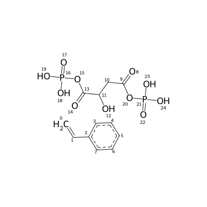 C=Cc1ccccc1.O=C(CC(O)C(=O)OP(=O)(O)O)OP(=O)(O)O